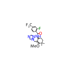 CO[C@@H]1[C@@H](Cn2cncn2)[C@H](NC(=O)c2ccc(C(F)(F)F)cc2F)CCC1(C)C